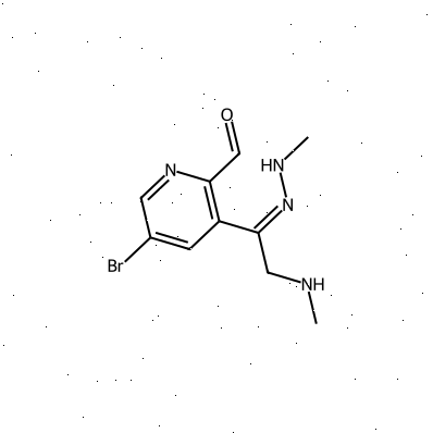 CNC/C(=N/NC)c1cc(Br)cnc1C=O